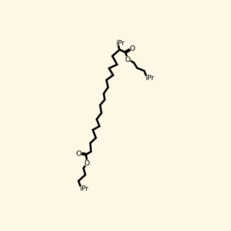 CC(C)CCCOC(=O)CCCCCCCCCCCCCCCCC(C(=O)OCCCC(C)C)C(C)C